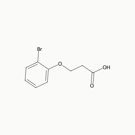 O=C(O)CCOc1ccccc1Br